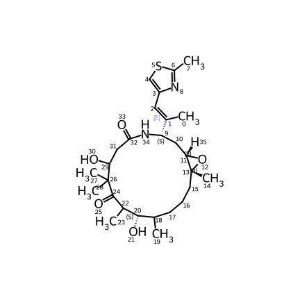 C/C(=C\c1csc(C)n1)[C@@H]1C[C@@H]2O[C@]2(C)CCCC(C)[C@H](O)C(C)C(=O)C(C)(C)C(O)CC(=O)N1